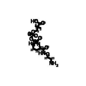 CC(C)(COS(=O)(=O)ON1C(=O)N2C[C@H]1CC[C@H]2C(=O)NOCCN)C(=O)O